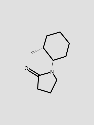 C[C@@H]1CCCC[C@@H]1N1CCCC1=O